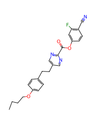 CCCCOc1ccc(CCc2cnc(C(=O)Oc3ccc(C#N)c(F)c3)nc2)cc1